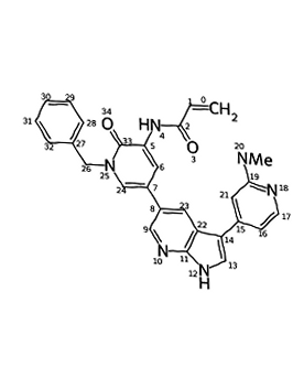 C=CC(=O)Nc1cc(-c2cnc3[nH]cc(-c4ccnc(NC)c4)c3c2)cn(Cc2ccccc2)c1=O